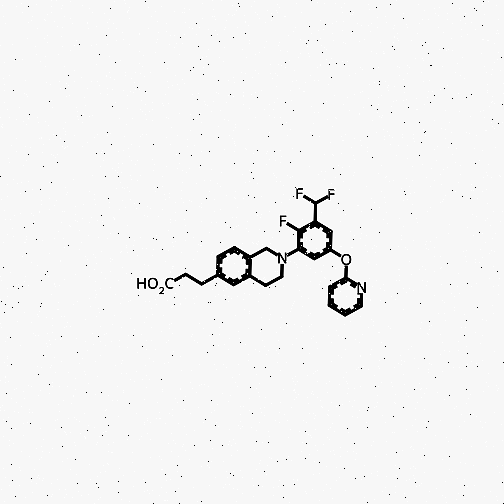 O=C(O)CCc1ccc2c(c1)CCN(c1cc(Oc3ccccn3)cc(C(F)F)c1F)C2